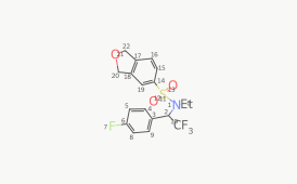 CCN(C(c1ccc(F)cc1)C(F)(F)F)S(=O)(=O)c1ccc2c(c1)COC2